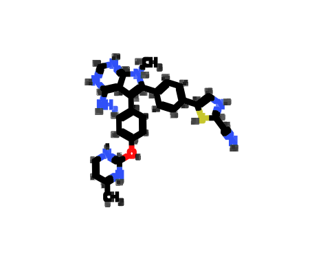 Cc1ccnc(Oc2ccc(-c3c(-c4ccc(-c5cnc(C#N)s5)cc4)n(C)c4ncnc(N)c34)cc2)n1